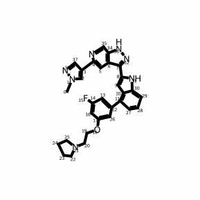 Cn1cc(-c2cc3c(-c4cc5c(-c6cc(F)cc(OCCN7CCCC7)c6)cccc5[nH]4)n[nH]c3cn2)cn1